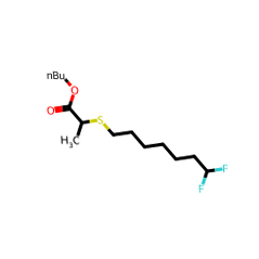 CCCCOC(=O)C(C)SCCCCCCC(F)F